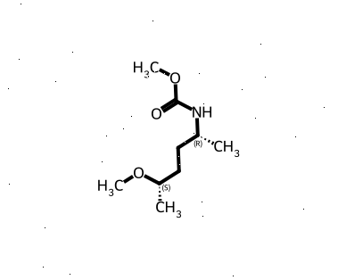 COC(=O)N[C@H](C)CC[C@H](C)OC